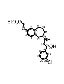 CCOC(=O)COc1ccc2c(c1)CCC[C@H](NC[C@H](O)c1cccc(Cl)c1)C2